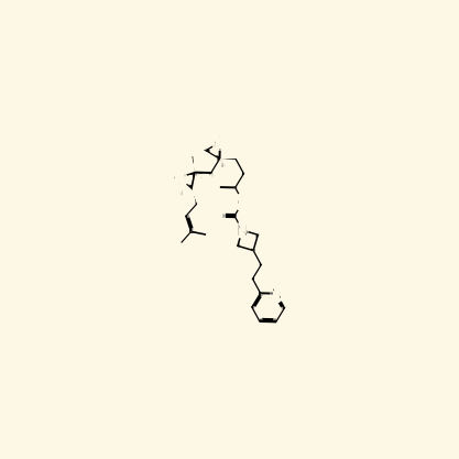 CC(C)=CC[C@H]1O[C@]1(C)[C@H]1CC(OC(=O)N2CC(CCc3ccccn3)C2)CC[C@]12CO2